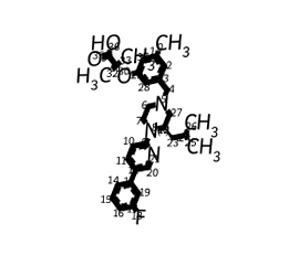 Cc1cc(CN2CCN(c3ccc(-c4cccc(F)c4)cn3)[C@H](CC(C)C)C2)cc(OC(C)(C)C(=O)O)c1